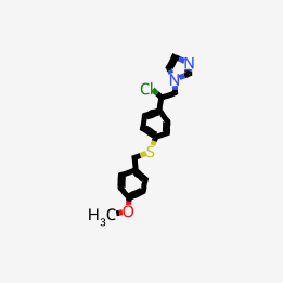 COc1ccc(CSc2ccc(C(Cl)Cn3ccnc3)cc2)cc1